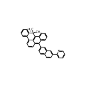 CC1(C)c2ccccc2-c2cccc3c(-c4ccc5ccc(-c6ccccn6)cc5c4)c4ccccc4c1c23